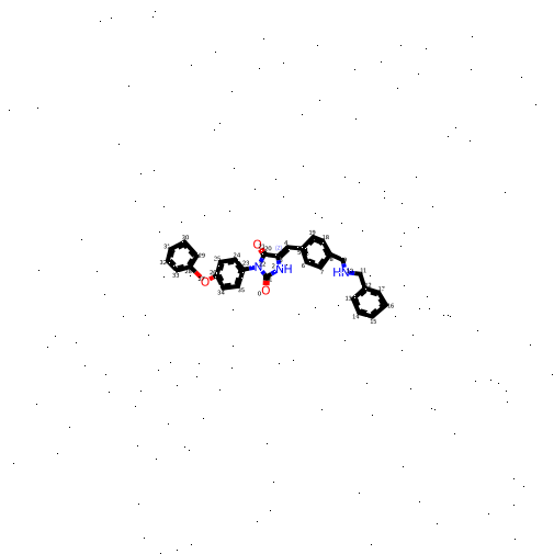 O=C1N/C(=C\c2ccc(CNCc3ccccc3)cc2)C(=O)N1c1ccc(Oc2ccccc2)cc1